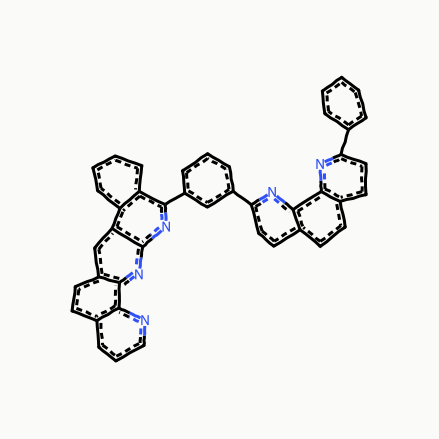 c1ccc(-c2ccc3ccc4ccc(-c5cccc(-c6nc7nc8c(ccc9cccnc98)cc7c7ccccc67)c5)nc4c3n2)cc1